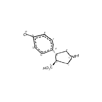 O=C(O)[C@@H]1CNC[C@H]1c1ccc(Cl)cc1